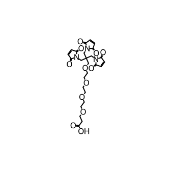 O=C(O)CCOCCOCCOCCOCC(CN1C(=O)C=CC1=O)(CN1C(=O)C=CC1=O)CN1C(=O)C=CC1=O